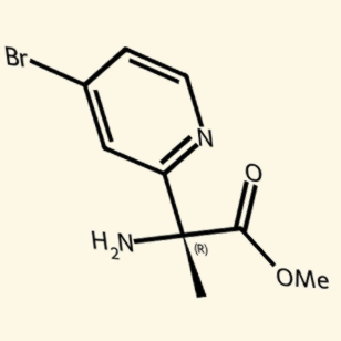 COC(=O)[C@](C)(N)c1cc(Br)ccn1